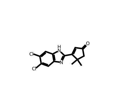 CC1(C)CC(=O)C=C1c1nc2cc(Cl)c(Cl)cc2[nH]1